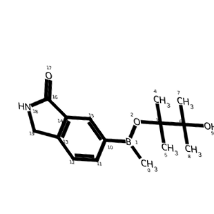 CB(OC(C)(C)C(C)(C)O)c1ccc2c(c1)C(=O)NC2